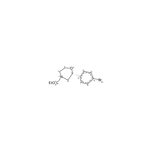 CCOC(=O)N1CCO[C@H](c2ccc(Br)cc2)C1